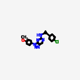 COc1ccc(-n2nnc3cnc(NC4CC4c4ccc(Cl)cc4)nc32)cc1